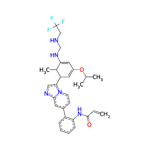 C=CC(=O)Nc1ccccc1-c1ccn2c(C3C=C(OC(C)C)C=C(NCNCC(F)(F)F)C3C)cnc2c1